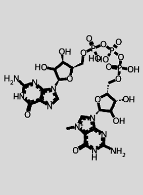 C[n+]1cn([C@@H]2O[C@H](COP(=O)(O)OP(=O)(O)OP(=O)(O)OC[C@H]3O[C@@H](n4cnc5c(=O)[nH]c(N)nc54)C(O)[C@H]3O)[C@H](O)C2O)c2nc(N)[nH]c(=O)c21